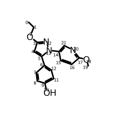 CCOc1cc(-c2ccc(O)cc2)n(-c2ccc(OC)nc2)n1